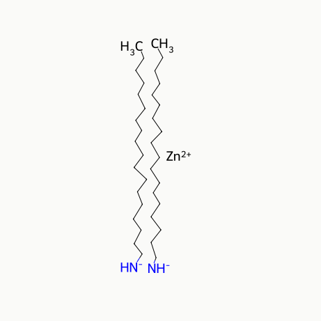 CCCCCCCCCCCCCCCCCC[NH-].CCCCCCCCCCCCCCCCCC[NH-].[Zn+2]